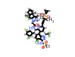 CCS(=O)(=O)Nc1nn(CC(F)F)c2c(-c3ccc(C#CC(C)(C)S(=O)(=O)C4CC4)nc3[C@H](Cc3cc(F)cc(F)c3)NC(=O)Cn3nc(C(F)(F)F)c4c3C(F)(F)[C@@H]3CC#C[C@H]43)ccc(Cl)c12